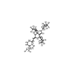 CC[C@H](C)C1CCC2/C(=C/C=C3C[C@@H](O[Si](C)(C)C(C)(C)C)C(=CCCO[Si](C)(C)C(C)(C)C)[C@H](O[Si](C)(C)C(C)(C)C)C3)CCC[C@@]21C